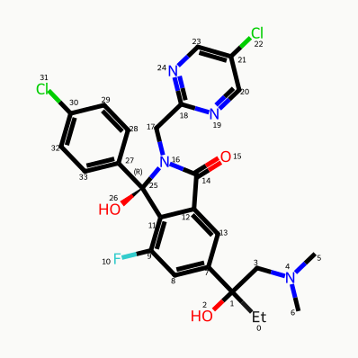 CCC(O)(CN(C)C)c1cc(F)c2c(c1)C(=O)N(Cc1ncc(Cl)cn1)[C@@]2(O)c1ccc(Cl)cc1